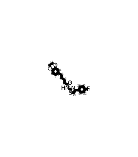 O=C(/C=C/C=C/c1ccc2c(c1)OCCO2)Nc1nc(-c2ccc(F)cc2)cs1